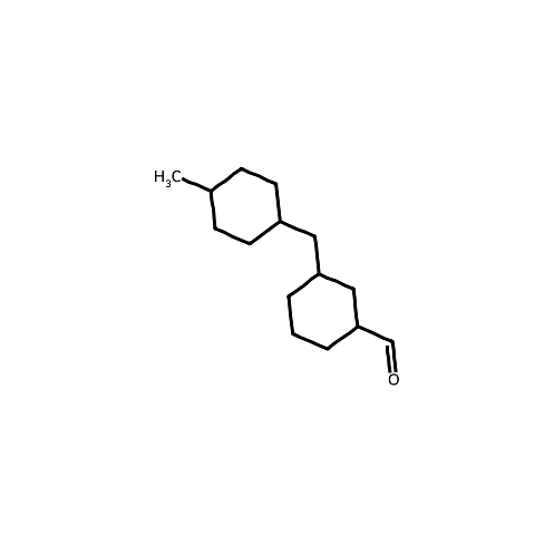 CC1CCC(CC2CCCC(C=O)C2)CC1